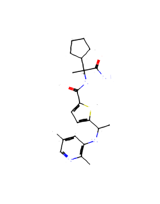 Cc1ncc(C(F)(F)F)cc1NC(C)c1ccc(C(=O)NC(C)(C(N)=O)C2CCCC2)s1